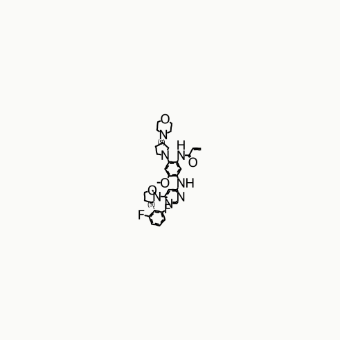 C=CC(=O)Nc1cc(Nc2cc(N3OCC[C@H]3c3c(F)cccc3F)ncn2)c(OC)cc1N1CC[C@H](N2CCOCC2)C1